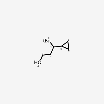 CC(C)(C)C(CCO)C1CC1